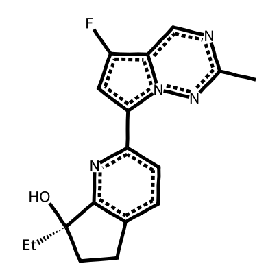 CC[C@@]1(O)CCc2ccc(-c3cc(F)c4cnc(C)nn34)nc21